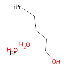 CC(C)CCCCO.O.O.[Hf]